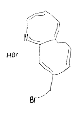 Br.BrCc1ccc2cccnc2c1